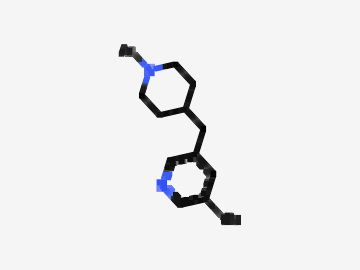 CC(=O)N1CCC(Cc2cncc(C(C)(C)C)c2)CC1